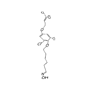 ON=CCCCCCOc1c(Cl)cc(OCC=C(Cl)Cl)cc1Cl